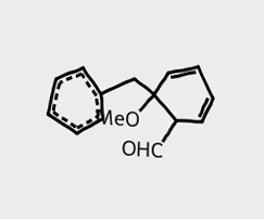 COC1(Cc2ccccc2)C=CC=CC1C=O